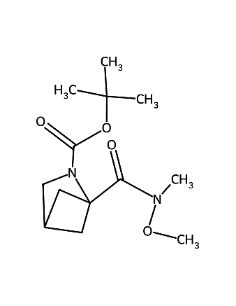 CON(C)C(=O)C12CC(CN1C(=O)OC(C)(C)C)C2